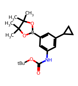 CC(C)(C)OC(=O)Nc1cc(B2OC(C)(C)C(C)(C)O2)cc(C2CC2)c1